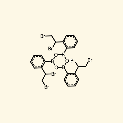 BrCC(Br)c1ccccc1B1OB(c2ccccc2C(Br)CBr)OB(c2ccccc2C(Br)CBr)O1